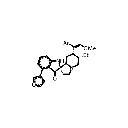 CC[C@@H]1CN2CC[C@]3(Nc4cccc(-c5ccoc5)c4C3=O)C2C[C@@H]1/C(=C\OC)C(C)=O